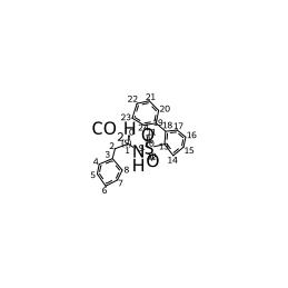 O=C(O)[C@H](Cc1ccccc1)NS(=O)(=O)c1ccccc1-c1ccccc1